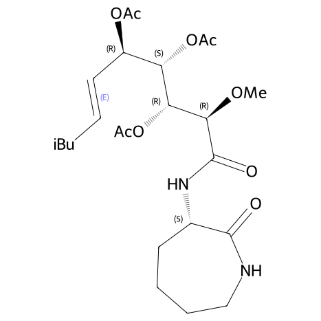 CCC(C)/C=C/[C@@H](OC(C)=O)[C@H](OC(C)=O)[C@@H](OC(C)=O)[C@@H](OC)C(=O)N[C@H]1CCCCNC1=O